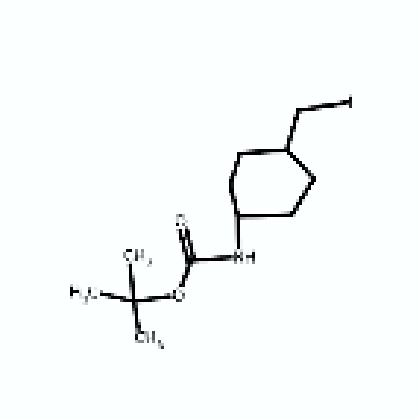 CC(C)(C)OC(=O)NC1CCC(CI)CC1